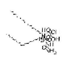 CCCCCCCC/C=C\CCCCCCCC(=O)N(CCCCCCCCCCCCCCCCCC)[C@@]1(NC(=O)CNC(=O)CN)C[C@@H](O)[C@H](O)[C@@H](CO)O1